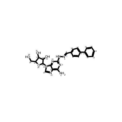 Nc1nc(N/N=C/c2ccc(-c3ccccc3)cc2)nc2c1ncn2C1OC(CO)C(O)C1O